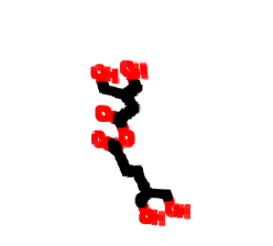 O=C(CCC(CO)CO)OC(=O)CC(CO)CO